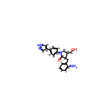 Nc1ccccc1CC1C(=O)N(c2ccc(-c3cn[nH]c3)cc2)CC1CO